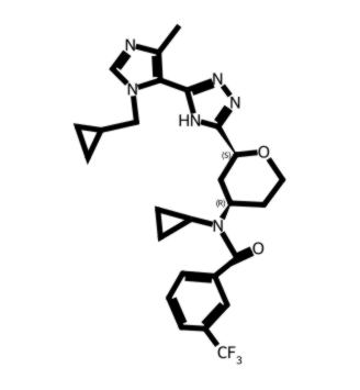 Cc1ncn(CC2CC2)c1-c1nnc([C@@H]2C[C@H](N(C(=O)c3cccc(C(F)(F)F)c3)C3CC3)CCO2)[nH]1